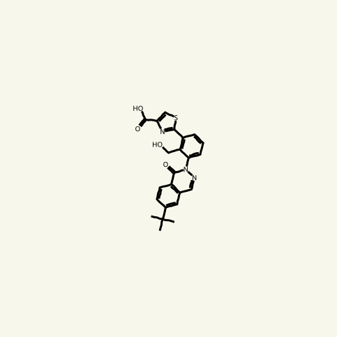 CC(C)(C)c1ccc2c(=O)n(-c3cccc(-c4nc(C(=O)O)cs4)c3CO)ncc2c1